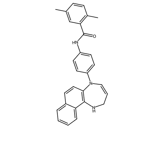 Cc1ccc(C)c(C(=O)Nc2ccc(N3C=CCNc4c3ccc3ccccc43)cc2)c1